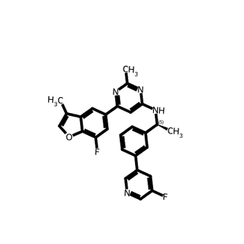 Cc1nc(N[C@@H](C)c2cccc(-c3cncc(F)c3)c2)cc(-c2cc(F)c3occ(C)c3c2)n1